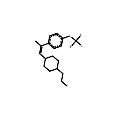 CCCC1CCC(C=C(C)c2ccc(OC(F)(F)F)cc2)CC1